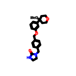 COC1(c2cccc(OCc3ccc(CN4CCNC4=O)cc3)c2)CCOCC1